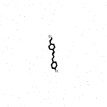 CCC=CC1CCC(C=CCCC2CCC(CC)CC2)CC1